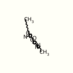 CCCCCCCCCOc1ccc(C(=O)Oc2ccc(-c3ncc(CCC)cn3)cc2)cc1C#N